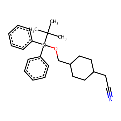 CC(C)(C)[Si](OCC1CCC(CC#N)CC1)(c1ccccc1)c1ccccc1